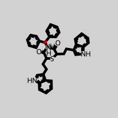 O=C(NCc1ccccc1)C(CCc1c[nH]c2ccccc12)SC(CCc1c[nH]c2ccccc12)C(=O)NCc1ccccc1